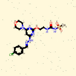 CS(=O)(=O)NC(=O)NCCOc1nc(NN=Cc2ccc(Cl)cc2)cc(N2CCOCC2)n1